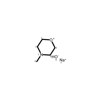 CN1[CH]COCC1.[Na+].[OH-]